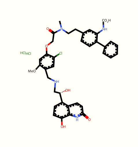 COc1cc(OCC(=O)N(C)CCc2ccc(-c3ccccc3)c(NC(=O)O)c2)c(Cl)cc1CNC[C@H](O)c1ccc(O)c2[nH]c(=O)ccc12.Cl.Cl